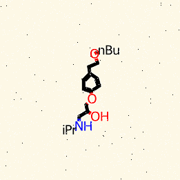 CCCCOCCc1ccc(OCC(O)CNC(C)C)cc1